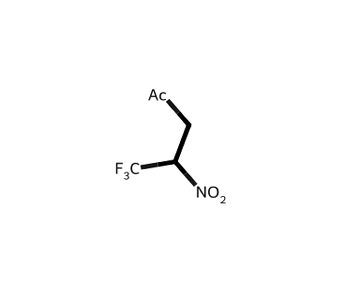 CC(=O)CC([N+](=O)[O-])C(F)(F)F